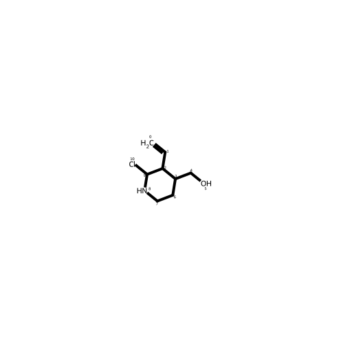 C=CC1C(CO)CCNC1Cl